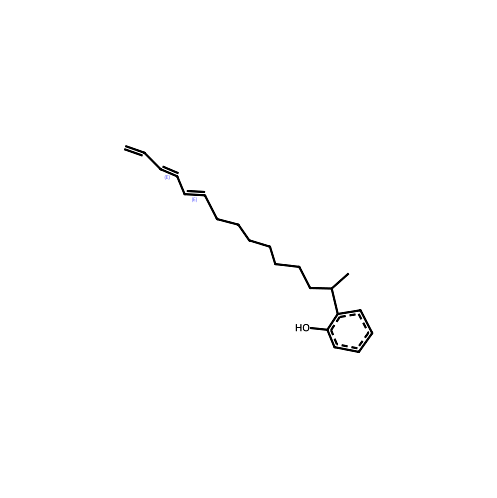 C=C/C=C/C=C/CCCCCCCC(C)c1ccccc1O